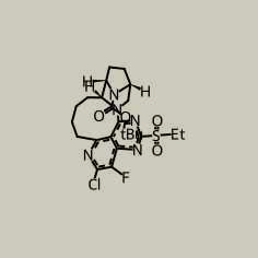 CCS(=O)(=O)c1nc2c3c(nc(Cl)c(F)c3n1)CCCC[C@@H]1[C@@H]3CC[C@H](CN21)N3C(=O)OC(C)(C)C